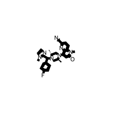 C[C@@H]1CN(c2cc(=O)n(C)c3ccc(C#N)nc23)[C@@H](C)CN1C(c1ccc(F)cc1)c1nccn1C